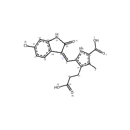 Cc1c(C(=O)O)[nH]c(/C=C2\C(=O)Nc3cc(Cl)ccc32)c1CCC(=O)O